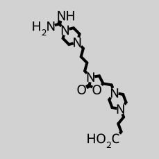 N=C(N)N1CCN(CCCCN2CC(CN3CCN(CCCC(=O)O)CC3)OC2=O)CC1